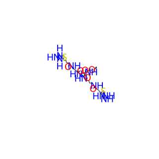 C#CCOCCNC(=O)c1cc(NC(=O)CCCCCNC(=O)CCCCC2SCC3NC(=N)NC32)cc(NC(=O)CCCCCNC(=O)CCCCC2SCC3NC(=N)NC32)c1